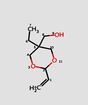 C=CC1OCC(CC)(CO)CO1